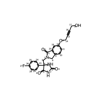 O=C1NC(=O)C(CN2Cc3ccc(OCC#CCO)cc3C2=O)(c2ccc(F)cc2)N1